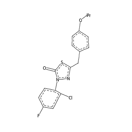 CC(C)Oc1ccc(Cc2nn(-c3ccc(F)cc3Cl)c(=O)s2)cc1